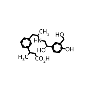 CC(CC(=O)O)c1cccc(C[C@@H](C)NC[C@@H](O)c2ccc(O)c(CO)c2)c1